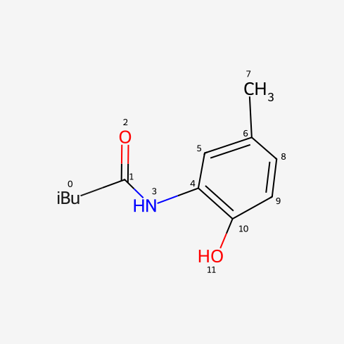 CCC(C)C(=O)Nc1cc(C)ccc1O